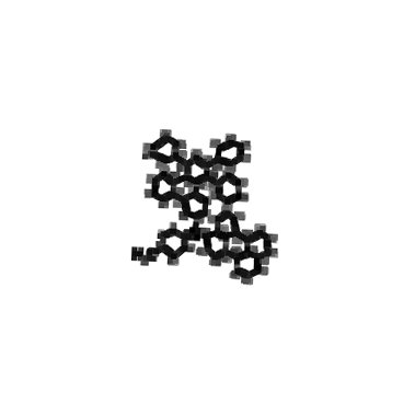 Cc1ccc(N(c2ccc3c(c2)c2ccccc2c2c(-c4ccccc4)cc(-c4ccccc4)c(-c4ccccc4)c32)c2ccc3c4cccc5cccc(c6cccc2c63)c54)cc1